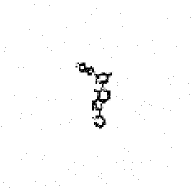 CC1c2cnc(-c3ncccn3)nc2CCN1c1cc(F)cc(N2CC3(COC3)C2)n1